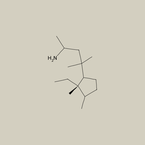 CC[C@@]1(C)C(C)CCC1C(C)(C)CC(C)N